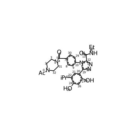 [CH2]C(=O)N1CCN(C(=O)c2ccc(-n3c(C(=O)NCC)nnc3-c3cc(C(C)C)c(O)cc3O)cc2)CC1